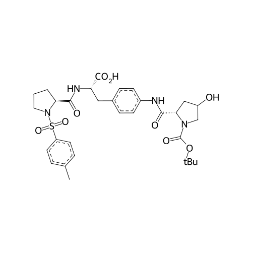 Cc1ccc(S(=O)(=O)N2CCC[C@H]2C(=O)N[C@@H](Cc2ccc(NC(=O)[C@@H]3CC(O)CN3C(=O)OC(C)(C)C)cc2)C(=O)O)cc1